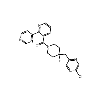 O=C(c1cccnc1-c1ccncn1)N1CCC(F)(Cc2ccc(Cl)cn2)CC1